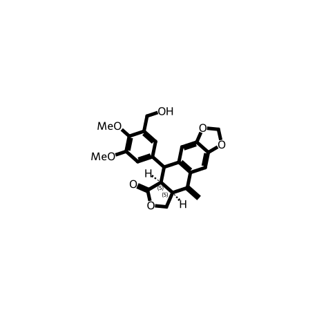 C=C1c2cc3c(cc2C(c2cc(CO)c(OC)c(OC)c2)[C@@H]2C(=O)OC[C@H]12)OCO3